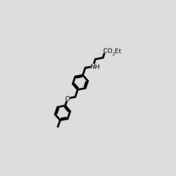 CCOC(=O)CCNCc1ccc(COc2ccc(C)cc2)cc1